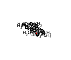 Cc1ccc([Si](C)(C)C)cc1N(c1c(C)cccc1C)c1cc(C(C)C)c2ccc3c(N(c4cc([Si](C)(C)C)ccc4C)c4c(C)cccc4C)cc4c5c(cc1c2c35)C(C)(C)CC4